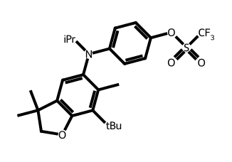 Cc1c(N(c2ccc(OS(=O)(=O)C(F)(F)F)cc2)C(C)C)cc2c(c1C(C)(C)C)OCC2(C)C